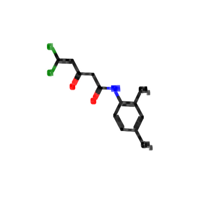 Cc1ccc(NC(=O)CC(=O)C=C(Cl)Cl)c(C)c1